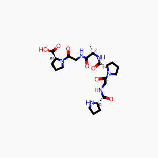 C[C@H](NC(=O)[C@@H]1CCCN1C(=O)CNC(=O)[C@@H]1CCCN1)C(=O)NCC(=O)N1CCC[C@H]1C(=O)O